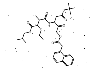 CCSC(C(=O)OCC(C)C)C(C)C(=O)NC(CC(=O)OC(C)(C)C)C(=O)COC(=O)Cc1cccc2ccccc12